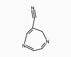 N#CC1=CN=CC=NC1